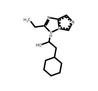 CCC1=Nc2cncn2[SH]1C(O)CC1CCCCC1